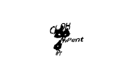 CCCCCN(Cc1ccc(C(C)C)cc1)c1cccc2c(O)c(Cl)ccc12